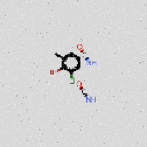 Cc1cccc(Cl)c1Br.N=C=O.N=C=O